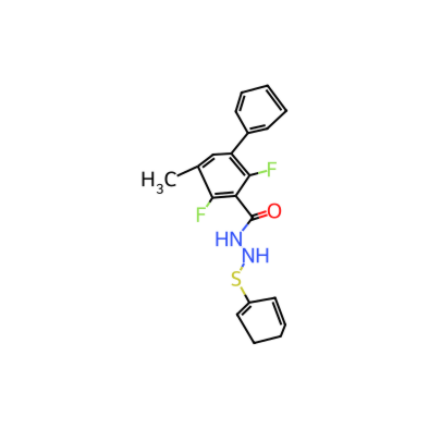 Cc1cc(-c2ccccc2)c(F)c(C(=O)NNSC2=CCCC=C2)c1F